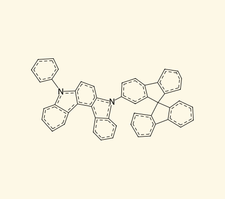 c1ccc(-n2c3ccccc3c3c4c5ccccc5n(-c5ccc6c(c5)C5(c7ccccc7-c7ccccc75)c5ccccc5-6)c4ccc32)cc1